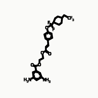 Nc1cc(N)cc(C(=O)OCCOC(=O)/C=C/c2ccc(OC(F)(F)C3CCC(CC(F)(F)F)CC3)cc2)c1